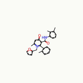 Cc1ccccc1-c1c(C(=O)Nc2cccc(C)c2C)c(=O)cc(C)n1Cc1ccco1